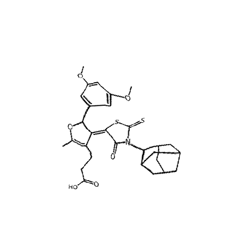 COc1cc(OC)cc(C2OC(C)=C(CCC(=O)O)/C2=C2/SC(=S)N(C3C4CC5CC(C4)CC3C5)C2=O)c1